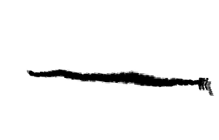 BC(P)C#CC#CC#CC#CC#CC#CC#CC#CC#CC#CC#CC#CC#CC#CC#CC#CC#CC#CC#CC#CC#CC#CC#CC#CC#CC#CC#CC#CC#CC#C